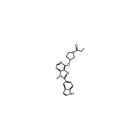 CCC(=O)N1CCC(Oc2ncnc3c2nc(-c2ccc4[nH]ccc4c2)n3C)C1